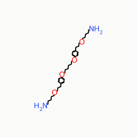 NCCCCCOCCCc1ccc(OCCCCCCOc2ccc(CCCOCCCCCN)cc2)cc1